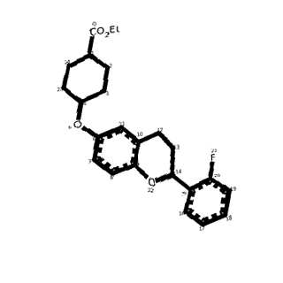 CCOC(=O)C1CCC(Oc2ccc3c(c2)CCC(c2ccccc2F)O3)CC1